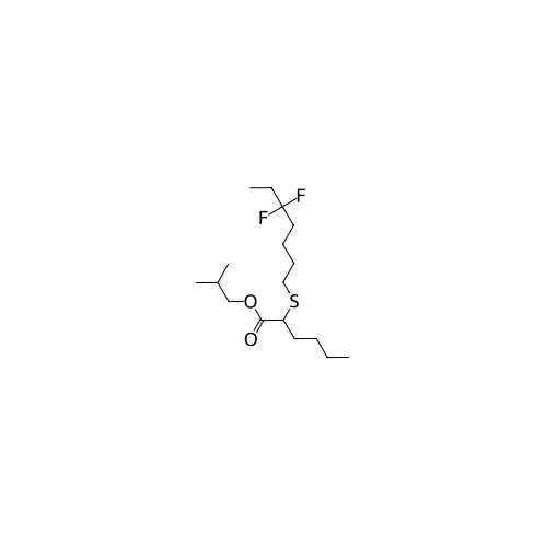 CCCCC(SCCCCC(F)(F)CC)C(=O)OCC(C)C